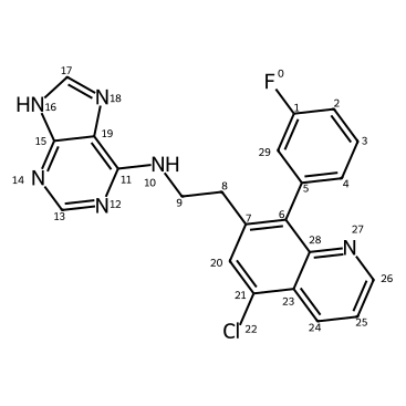 Fc1cccc(-c2c(CCNc3ncnc4[nH]cnc34)cc(Cl)c3cccnc23)c1